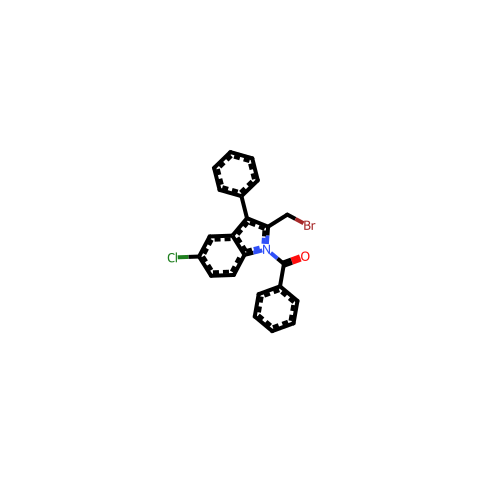 O=C(c1ccccc1)n1c(CBr)c(-c2ccccc2)c2cc(Cl)ccc21